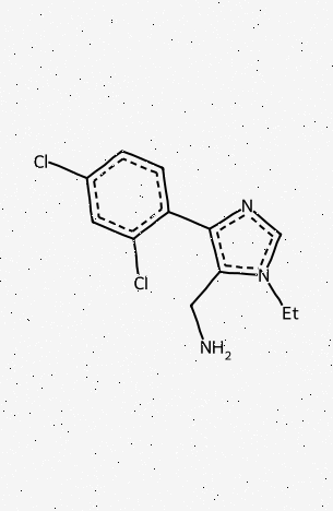 [CH2]Cn1cnc(-c2ccc(Cl)cc2Cl)c1CN